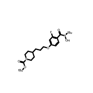 CC(C)(C)OC(=O)N1CCC(CCCOc2ccc(C(=O)N(O)C(C)(C)C)c(F)c2)CC1